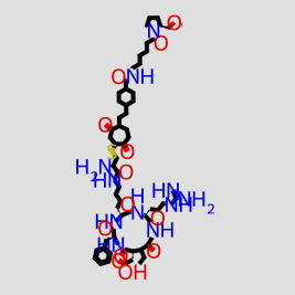 CCC1C(=O)CNC(=O)[C@@H](CCCNC(=N)N)NC(=O)[C@@H](CCCCNC(=O)[C@@H](N)CSC2CC(=O)C(CCC3CCC(C(=O)NCCCCCC(=O)N4CCC[C@H]4COC)CC3)CCC2=O)NC(=O)[C@H](Cc2ccccc2)NC(=O)[C@H]1CC(=O)O